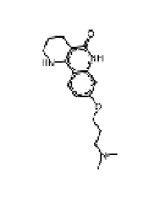 CN(C)CCCOc1ccc2c3c(c(=O)[nH]c2c1)CCCN3